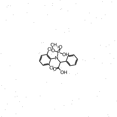 COP(=O)(O)N(c1c(Cl)cccc1Cl)C(C(=O)O)c1ccccc1